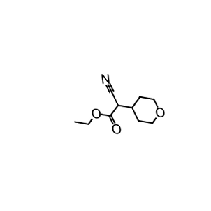 CCOC(=O)C(C#N)C1CCOCC1